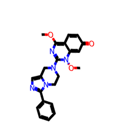 COc1nc(N2CCn3c(cnc3-c3ccccc3)C2)n(OC)c2cc(=O)ccc1-2